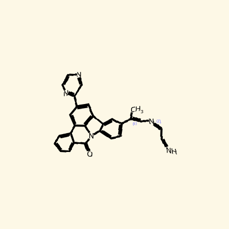 C/C(=C\N=C/C=N)c1ccc2c(c1)c1cc(-c3cnccn3)cc3c4ccccc4c(=O)n2c31